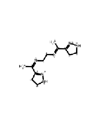 CC(=NCCN=C(C)C1=NNCC1)C1=NNCC1